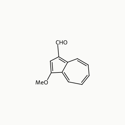 COc1cc(C=O)c2cccccc1-2